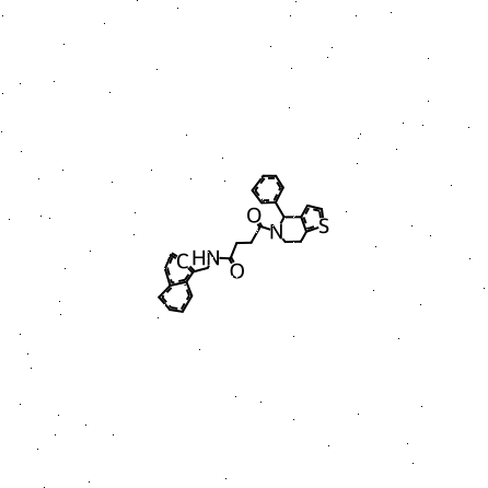 O=C(CCC(=O)N1CCc2sccc2C1c1ccccc1)NCc1cccc2ccccc12